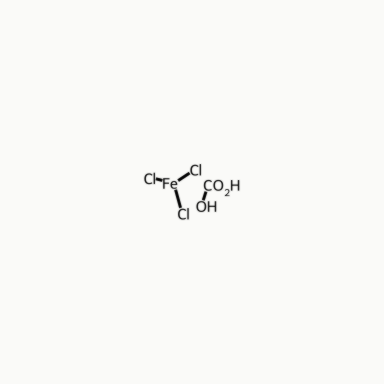 O=C(O)O.[Cl][Fe]([Cl])[Cl]